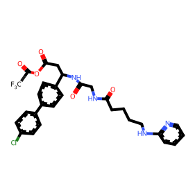 O=C(CCCCNc1ccccn1)NCC(=O)NC(CC(=O)OC(=O)C(F)(F)F)c1ccc(-c2ccc(Cl)cc2)cc1